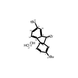 CC(C)(C)c1ccc2c(c1)[CH]([Zr])c1cc(C(C)(C)C)ccc1-2.Cl.Cl